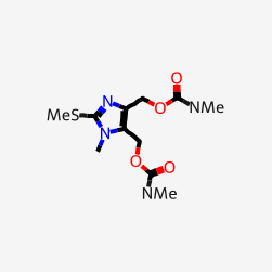 CNC(=O)OCc1nc(SC)n(C)c1COC(=O)NC